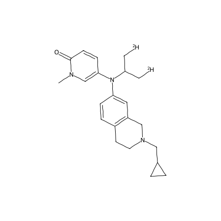 [2H]CC(C[2H])N(c1ccc2c(c1)CN(CC1CC1)CC2)c1ccc(=O)n(C)c1